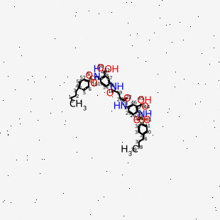 CCCCc1ccc(S(=O)(=O)Nc2ccc(NC(=O)CCC(=O)Nc3ccc(NS(=O)(=O)c4ccc(CCCC)cc4)c(C(=O)O)c3)cc2C(=O)O)cc1